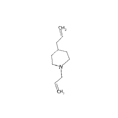 C=CCC1CCN(CC=C)CC1